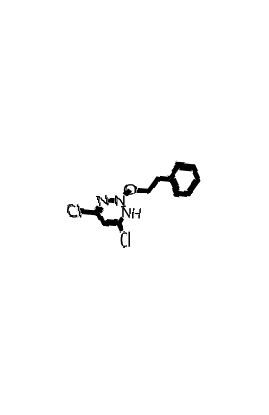 ClC1=CC(Cl)=NN(OCCc2ccccc2)N1